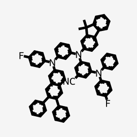 CC1(C)c2ccccc2-c2ccc(N(c3cccc(N(c4ccc(F)cc4)c4ccc5cc(-c6ccccc6)c(-c6ccccc6)cc5c4)c3)c3cc(C#N)cc(N(c4ccccc4)c4ccc(F)cc4)c3)cc21